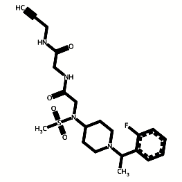 C#CCNC(=O)CNC(=O)CN(C1CCN(C(C)c2ccccc2F)CC1)S(C)(=O)=O